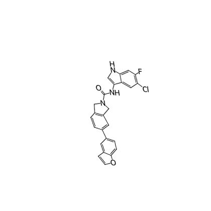 O=C(Nc1c[nH]c2cc(F)c(Cl)cc12)N1Cc2ccc(-c3ccc4occc4c3)cc2C1